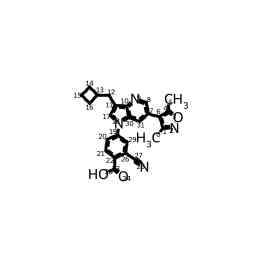 Cc1noc(C)c1-c1cnc2c(CC3CCC3)cn(-c3ccc(C(=O)O)c(C#N)c3)c2c1